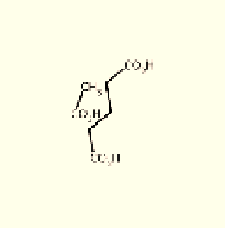 CC(=O)O.O=C(O)CCCC(=O)O